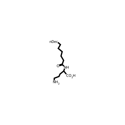 CCCCCCCCCCCCCCCC(=O)NC(CCCN)C(=O)O